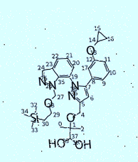 CC(C)(OCc1cc(-c2cccc(OC3CC3)c2)n(-c2cccc3cnn(COCC[Si](C)(C)C)c23)n1)C(O)O